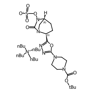 CC(C)(C)OC(=O)N1CCN(c2nnc([C@@H]3CC[C@@H]4CN3C(=O)N4OS(=O)(=O)[O-])o2)CC1.CCCC[N+](CCCC)(CCCC)CCCC